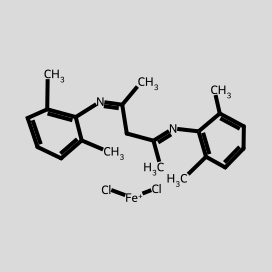 CC(CC(C)=Nc1c(C)cccc1C)=Nc1c(C)cccc1C.[Cl][Fe+][Cl]